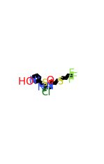 CN(C(=O)CCSCCCC(F)(F)F)c1sc(-c2ccc[n+](O)c2)nc1Cl